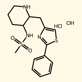 CS(=O)(=O)NC1CCCNC1Cc1csc(-c2ccccc2)n1.Cl.Cl